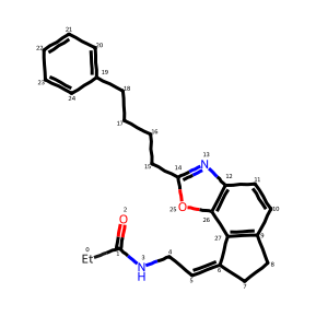 CCC(=O)NC/C=C1/CCc2ccc3nc(CCCCc4ccccc4)oc3c21